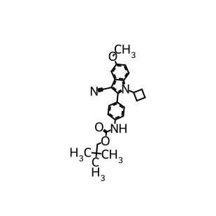 COc1ccc2c(c1)c(C#N)c(-c1ccc(NC(=O)OCC(C)(C)C)cc1)n2C1CCC1